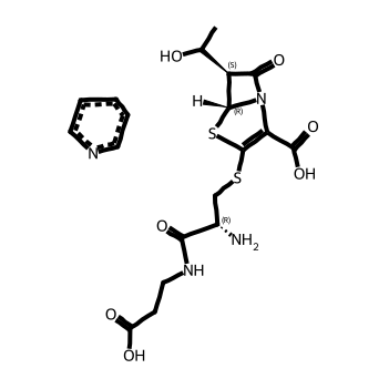 CC(O)[C@H]1C(=O)N2C(C(=O)O)=C(SC[C@H](N)C(=O)NCCC(=O)O)S[C@H]12.c1ccncc1